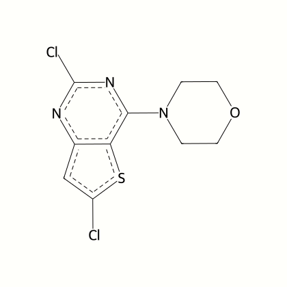 Clc1nc(N2CCOCC2)c2sc(Cl)cc2n1